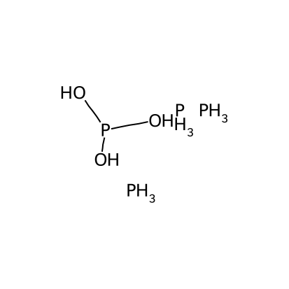 OP(O)O.P.P.P